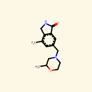 CC1CN(Cc2cc3c(c(C(F)(F)F)c2)CNC3=O)CCO1